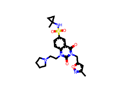 Cc1cc(Cn2c(=O)c3cc(S(=O)(=O)NC4(C)CC4)ccc3n(CCN3CCCC3)c2=O)on1